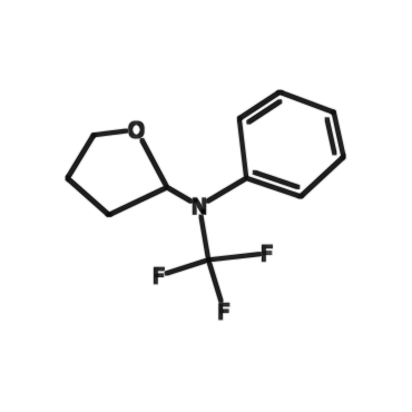 FC(F)(F)N(c1ccccc1)C1CCCO1